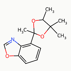 CC1OC(C)(c2cccc3ocnc23)OC1(C)C